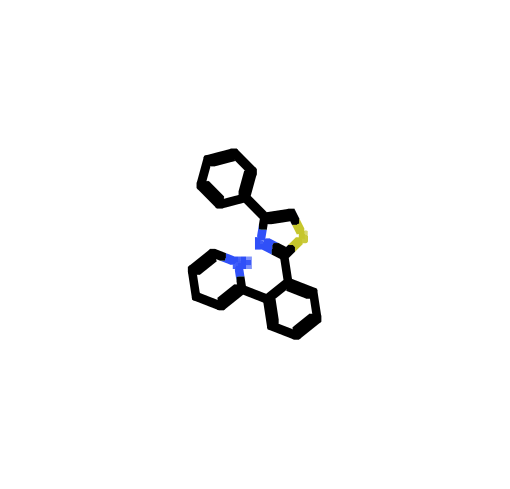 C1=CNC(c2ccccc2-c2nc(-c3ccccc3)cs2)=CC1